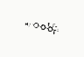 CC1CCC(c2ccc(-c3ccc(C(F)(F)F)c(F)c3F)cc2)CC1